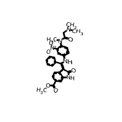 COC(=O)c1ccc2c(c1)NC(=O)/C2=C(\Nc1ccc(N(C)C(=O)CN(C)C)c([N+](=O)[O-])c1)c1ccccc1